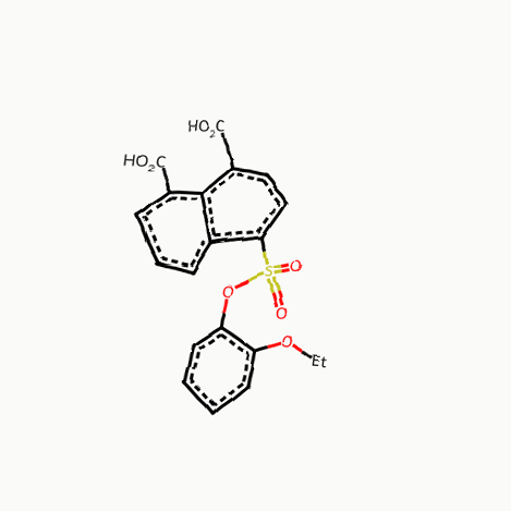 CCOc1ccccc1OS(=O)(=O)c1ccc(C(=O)O)c2c(C(=O)O)cccc12